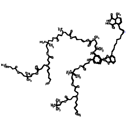 CNCCC(=O)OCCC(C)(C)CCOC(=O)CCN(CCCCCO)CCC(=O)OCCC(C)(C)CCOC(=O)CCN(C)CCC(=O)OCCCCOC(=O)[C@H](C)CC[C@@H](C)Nc1cc(B2Oc3cccc(CCCCCCC/C=C\CC4C=CC(C)C(C(=O)O)C4C(=O)O)c3O2)ccc1NCCC(=O)OCCC(C)(C)CCOC(=O)CCN(CCCCCO)CCC(=O)OCCC(C)(C)C